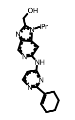 CC(C)n1c(CO)nc2cnc(Nc3ccnc(C4=CCCCC4)n3)cc21